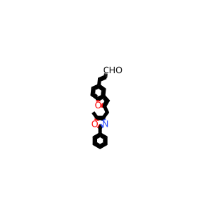 Cc1oc(-c2ccccc2)nc1Cc1cc2cc(C=CC=O)ccc2o1